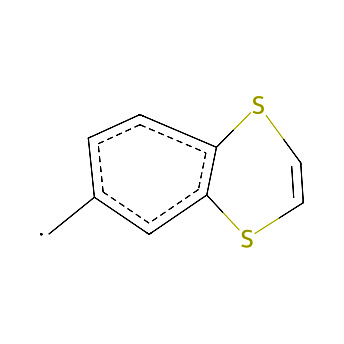 [CH2]c1ccc2c(c1)SC=CS2